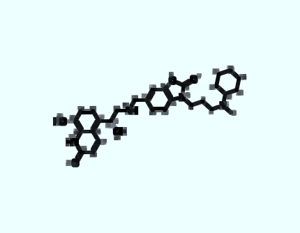 CN(CCCn1c(=O)oc2cc(CNC[C@H](O)c3ccc(O)c4[nH]c(=O)ccc34)ccc21)C1CC[CH]CC1